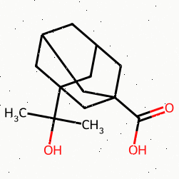 CC(C)(O)C12CC3CC(CC(C(=O)O)(C3)C1)C2